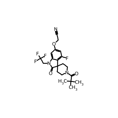 CC(C)(C)C(=O)N1CCC2(CC1)C(=O)N(CC(F)(F)F)c1cc(OCC#N)cc(F)c12